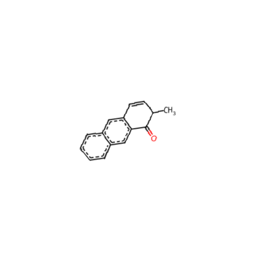 CC1C=Cc2cc3ccccc3cc2C1=O